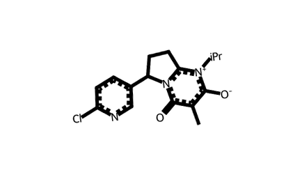 Cc1c([O-])[n+](C(C)C)c2n(c1=O)C(c1ccc(Cl)nc1)CC2